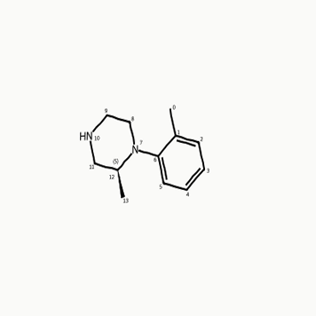 Cc1ccccc1N1CCNC[C@@H]1C